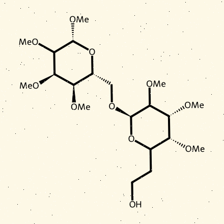 COC1[C@H](OC)O[C@H](CO[C@@H]2OC(CCO)[C@@H](OC)[C@@H](OC)C2OC)[C@@H](OC)[C@H]1OC